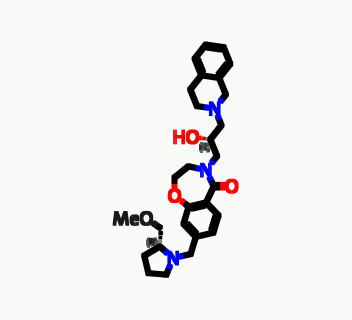 COC[C@H]1CCCN1Cc1ccc2c(c1)OCCN(C[C@H](O)CN1CCc3ccccc3C1)C2=O